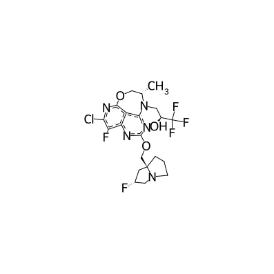 C[C@H]1COc2nc(Cl)c(F)c3nc(OC[C@@]45CCCN4C[C@H](F)C5)nc(c23)N1C[C@H](O)C(F)(F)F